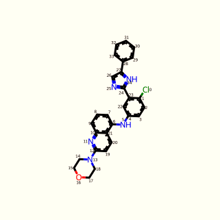 Clc1ccc(Nc2cccc3nc(N4CCOCC4)ccc23)cc1-c1ncc(-c2ccccc2)[nH]1